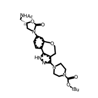 CC(=O)NC[C@H]1CN(c2ccc3c(c2)OCCc2c(N4CCN(C(=O)OC(C)(C)C)CC4)n[nH]c2-3)C(=O)O1